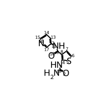 NC(=O)Nc1sccc1C(=O)Nc1cccnc1